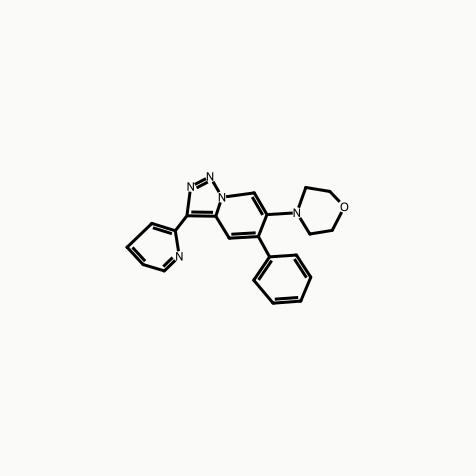 c1ccc(-c2cc3c(-c4ccccn4)nnn3cc2N2CCOCC2)cc1